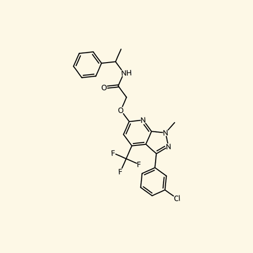 CC(NC(=O)COc1cc(C(F)(F)F)c2c(-c3cccc(Cl)c3)nn(C)c2n1)c1ccccc1